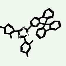 Cc1ccc(-c2nc(-c3ccc4c(c3)C3(c5ccccc5-c5ccccc53)c3ccccc3-4)nc(-c3ccc(C)cc3C)n2)c(C)c1